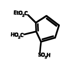 CCOC(=O)c1cccc(S(=O)(=O)O)c1C(=O)O